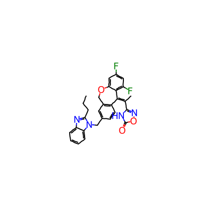 CCCc1nc2ccccc2n1Cc1ccc2c(c1)COc1cc(F)cc(F)c1/C2=C(\C)c1noc(=O)[nH]1